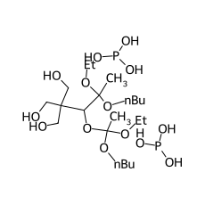 CCCCOC(C)(OCC)OC(C(CO)(CO)CO)C(C)(OCC)OCCCC.OP(O)O.OP(O)O